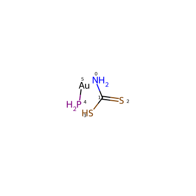 NC(=S)S.[PH2][Au]